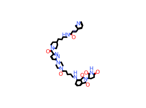 O=C(/C=C/c1cccnc1)NCCCCC1CCN(C(=O)c2ccc(N3CCN(C(=O)CCCCNc4cccc5c4C(=O)N(C4CCC(=O)NC4=O)C5=O)CC3)nn2)CC1